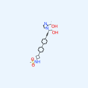 C[C@H](O)c1nccn1[C@H](C#Cc1ccc(-c2ccc(C3CC(NS(C)(=O)=O)C3)cc2)cc1)CO